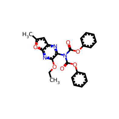 CCOc1nc2oc(C)cc2nc1N(C(=O)Oc1ccccc1)C(=O)Oc1ccccc1